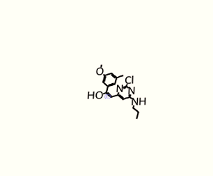 CCCNc1cc(/C=C(/O)c2cc(C)cc(OC)c2)nc(Cl)n1